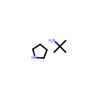 C1CCNC1.CC(C)(C)N